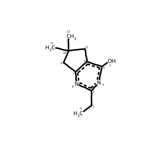 CCc1nc(O)c2c(n1)CC(C)(C)C2